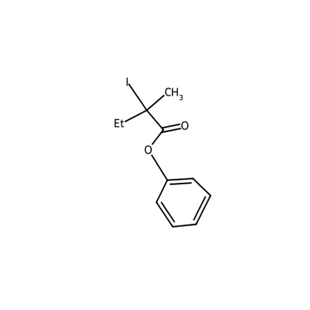 CCC(C)(I)C(=O)Oc1ccccc1